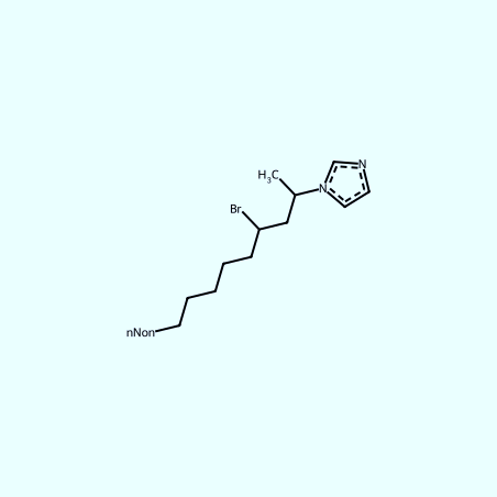 CCCCCCCCCCCCCCC(Br)CC(C)n1ccnc1